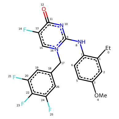 CCc1cc(OC)ccc1Nc1nc(=O)c(F)cn1Cc1cc(F)c(F)c(F)c1